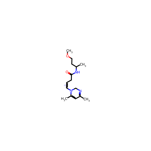 COCCC(C)NC(=O)C/C=C\N1CN=C(C)C=C1C